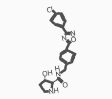 O=C(NCc1ccc(-c2nc(-c3ccc(Cl)cc3)no2)cc1)[C@H]1NCC[C@@H]1O